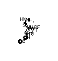 N=C(N)c1csc(CNC(=O)[C@@H]2C[C@@H](OC(F)F)CN2C(=O)CNC(=O)c2ccc(Oc3ccccc3)cc2)c1